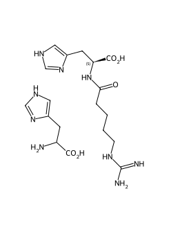 N=C(N)NCCCCC(=O)N[C@@H](Cc1c[nH]cn1)C(=O)O.NC(Cc1c[nH]cn1)C(=O)O